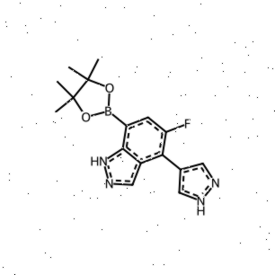 CC1(C)OB(c2cc(F)c(-c3cn[nH]c3)c3cn[nH]c23)OC1(C)C